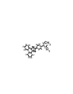 CCC(CC)=c1ccc(=C2N=C(c3ccccc3)C(c3ccccc3)=N2)cc1